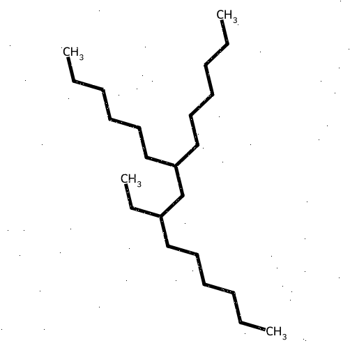 CCCCCCC(CC)CC(CCCCCC)CCCCCC